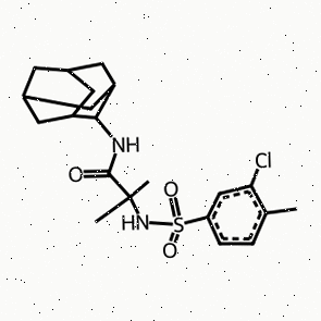 Cc1ccc(S(=O)(=O)NC(C)(C)C(=O)NC2C3CC4CC(C3)CC2C4)cc1Cl